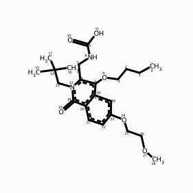 CCCCOc1c(CNC(=O)O)n(CC(C)(C)C)c(=O)c2ccc(OCCOC)cc12